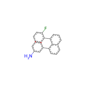 Nc1cccc(-c2cccc3cccc(-c4ccccc4F)c23)c1